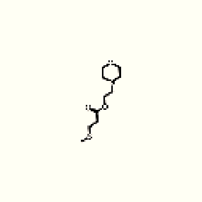 CSCCC(=O)OCCN1CCOCC1